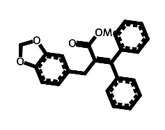 COC(=O)C(Cc1ccc2c(c1)OCO2)=C(c1ccccc1)c1ccccc1